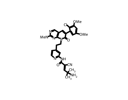 CNc1ncc2cc(-c3cc(OC)cc(OC)c3Cl)c(=O)n(CCc3ccnc(NC(=O)/C(C#N)=C/C(C)(C)N)c3)c2n1